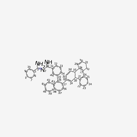 N=C(/N=C(\N)c1ccccc1)c1cccc(-c2c(C3=CC4c5ccccc5C5=C(C=CCC5)C4C=C3)ccc3ccccc23)c1